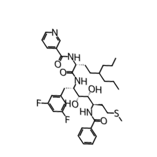 CCCC(CCC)CC[C@@H](NC(=O)c1cccnc1)C(=O)N[C@@H](Cc1cc(F)cc(F)c1)[C@@H](O)[C@H](O)[C@@H](CCSC)NC(=O)c1ccccc1